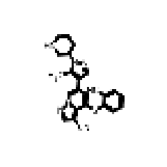 Cc1c(-c2cc(Sc3ccccc3C#N)c3c(C#N)cnn3c2)cnn1[C@@H]1CCCNC1